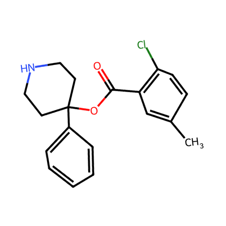 Cc1ccc(Cl)c(C(=O)OC2(c3ccccc3)CCNCC2)c1